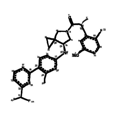 COc1cc([C@@H](C)C(=O)N2C[C@@H](Nc3ccc(-c4nccc(C(F)F)n4)c(C)n3)C3(CC3)C2)c(F)cn1